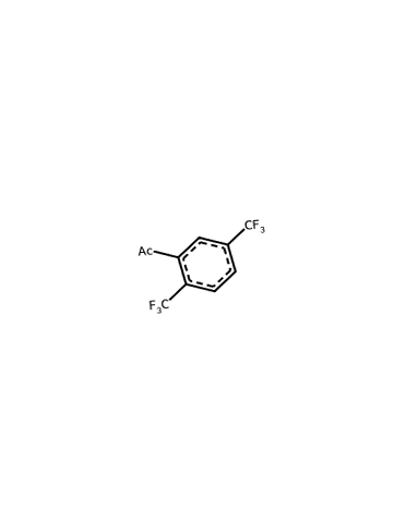 CC(=O)c1cc(C(F)(F)F)ccc1C(F)(F)F